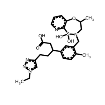 CCn1cc(CCC(CC(=O)O)c2ccc(C)c(CN3CC(C)Oc4cccnc4S3(O)O)c2)nn1